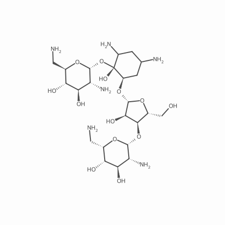 NC[C@@H]1O[C@H](O[C@H]2[C@@H](O)[C@H](O[C@@H]3CC(N)CC(N)[C@@]3(O)O[C@H]3O[C@H](CN)[C@@H](O)[C@H](O)[C@H]3N)O[C@@H]2CO)[C@H](N)[C@@H](O)[C@@H]1O